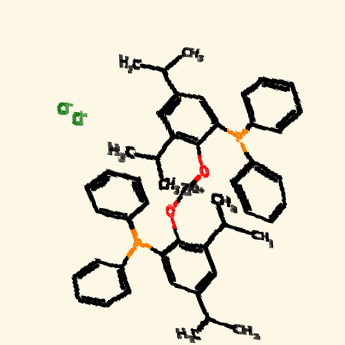 CC(C)c1cc(C(C)C)c([O][Zr+2][O]c2c(C(C)C)cc(C(C)C)cc2P(c2ccccc2)c2ccccc2)c(P(c2ccccc2)c2ccccc2)c1.[Cl-].[Cl-]